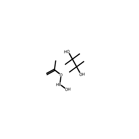 C=C(C)OBO.CC(C)(O)C(C)(C)O